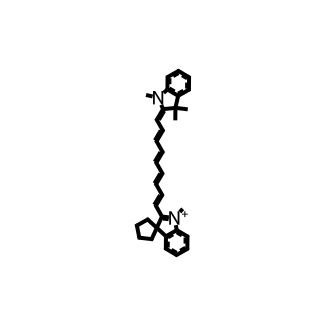 CN1/C(=C/C=C/C=C/C=C/C=C/C2=[N+](C)c3ccccc3C23CCCC3)C(C)(C)c2ccccc21